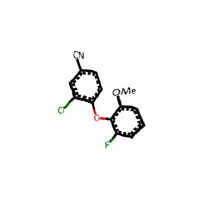 COc1cccc(F)c1Oc1ccc(C#N)cc1Cl